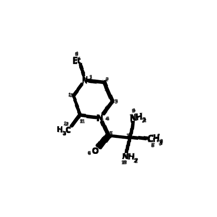 CCN1CCN(C(=O)C(C)(N)N)C(C)C1